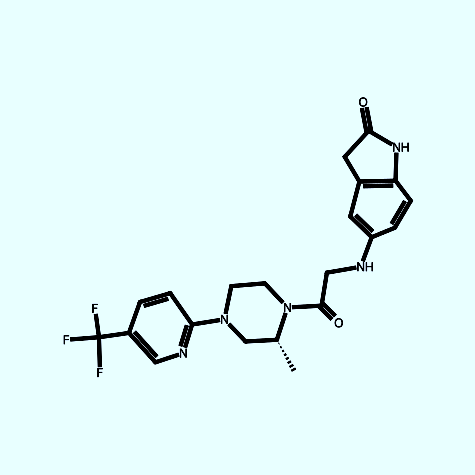 C[C@@H]1CN(c2ccc(C(F)(F)F)cn2)CCN1C(=O)CNc1ccc2c(c1)CC(=O)N2